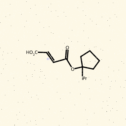 CC(C)C1(OC(=O)/C=C/C(=O)O)CCCC1